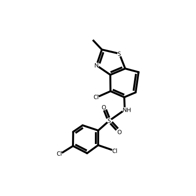 Cc1nc2c(Cl)c(NS(=O)(=O)c3ccc(Cl)cc3Cl)ccc2s1